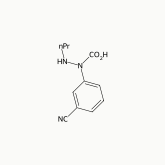 CCCNN(C(=O)O)c1cccc(C#N)c1